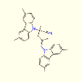 C/C(=C\n1c2ccc(C)cc2c2cc(C)ccc21)CC(C)(C#N)n1c2ccc(C)cc2c2cc(C)ccc21